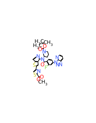 COC(=O)c1nc(-c2cc3c(N(C(=O)c4ccc(-n5nnc6cccnc65)cc4F)[C@@H]4CCCN(C(=O)OC(C)(C)C)C4)nccc3s2)cs1